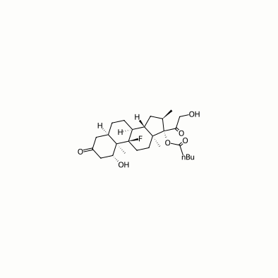 CCCCC(=O)O[C@@]1(C(=O)CO)[C@H](C)C[C@H]2[C@@H]3CC[C@@H]4CC(=O)C[C@@H](O)[C@]4(C)[C@@]3(F)CC[C@@]21C